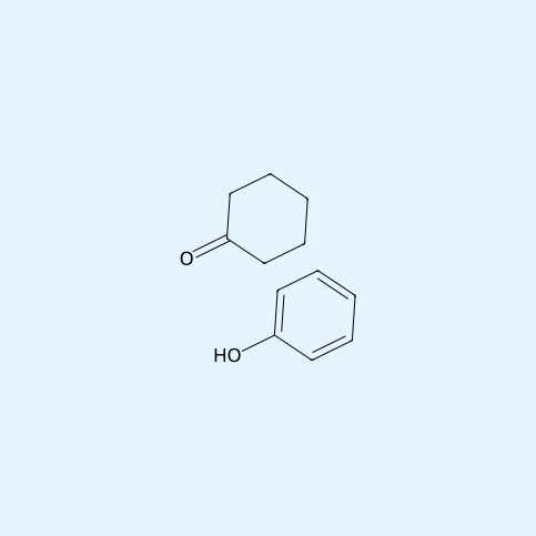 O=C1CCCCC1.Oc1ccccc1